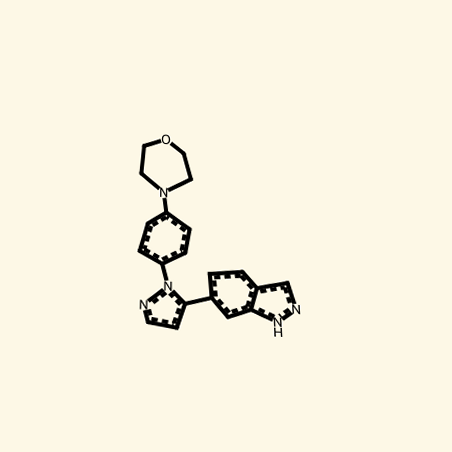 c1cc(-c2ccc3cn[nH]c3c2)n(-c2ccc(N3CCOCC3)cc2)n1